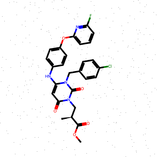 COC(=O)[C@@H](C)Cn1c(=O)cc(Nc2ccc(Oc3cccc(F)n3)cc2)n(Cc2ccc(Cl)cc2)c1=O